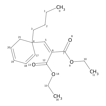 CCCCC1(C=C(C(=O)OCC)C(=O)OCC)C=CC=CC1